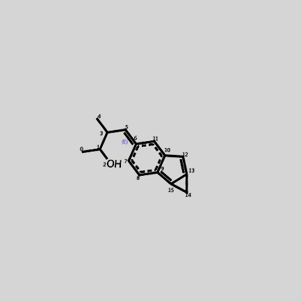 CC(O)C(C)/C=c1\ccc2c(c1)C=C1CC=21